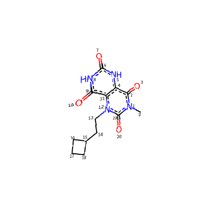 Cn1c(=O)c2[nH]c(=O)[nH]c(=O)c2n(CCC2CCC2)c1=O